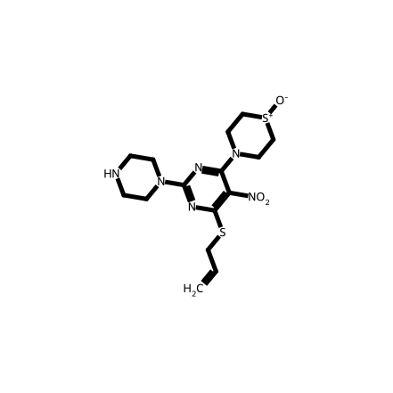 C=CCSc1nc(N2CCNCC2)nc(N2CC[S+]([O-])CC2)c1[N+](=O)[O-]